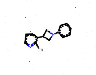 N#Cc1ncccc1C1CN(c2ccccc2)C1